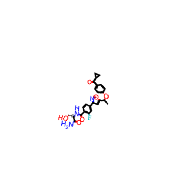 CC(Oc1ccc(C(=O)C2CC2)cc1)c1cc(-c2ccc(C(=O)N[C@@H](CO)C(N)=O)c(F)c2)no1